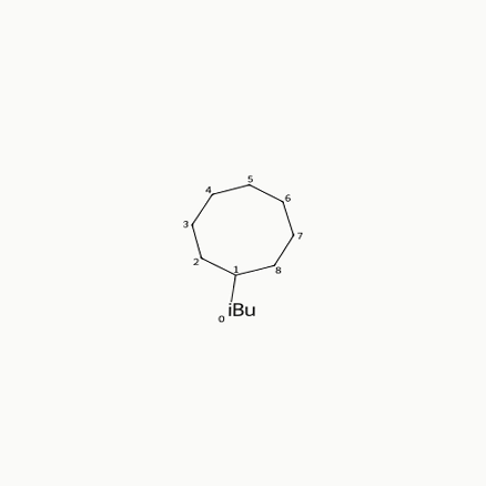 C[CH]C(C)C1CCCCCCC1